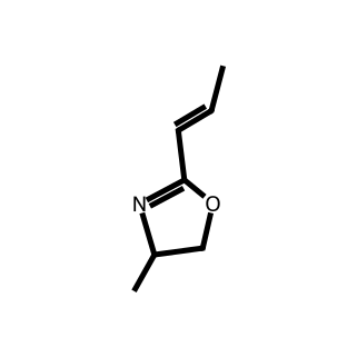 CC=CC1=NC(C)CO1